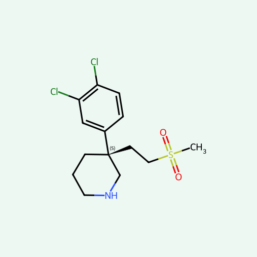 CS(=O)(=O)CC[C@]1(c2ccc(Cl)c(Cl)c2)CCCNC1